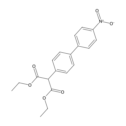 CCOC(=O)C(C(=O)OCC)c1ccc(-c2ccc([N+](=O)[O-])cc2)cc1